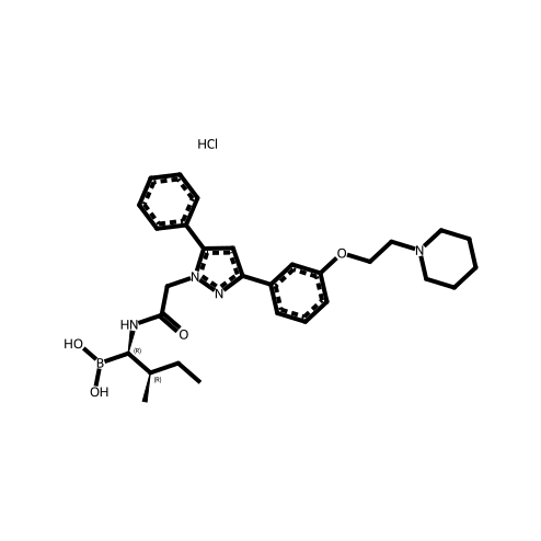 CC[C@@H](C)[C@H](NC(=O)Cn1nc(-c2cccc(OCCN3CCCCC3)c2)cc1-c1ccccc1)B(O)O.Cl